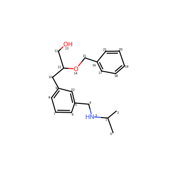 CC(C)NCc1cccc(CC(CO)OCc2ccccc2)c1